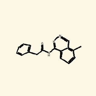 Cc1cccc2c(NC(=O)Cc3ccccc3)nncc12